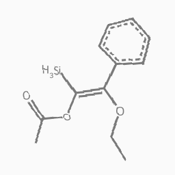 CCOC(=C([SiH3])OC(C)=O)c1ccccc1